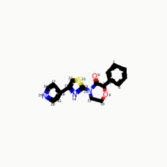 O=C1C(c2ccccc2)OCCN1c1nc(-c2ccncc2)cs1